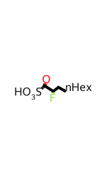 CCCCCCCCC(F)C(=O)S(=O)(=O)O